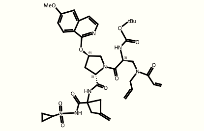 C=CCN(C[C@H](NC(=O)OC(C)(C)C)C(=O)N1C[C@H](Oc2nccc3cc(OC)ccc23)C[C@H]1C(=O)NC1(C(=O)NS(=O)(=O)C2CC2)CC(=C)C1)C(=O)C=C